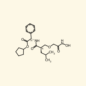 CC(C)C[C@H](COCC(=O)NO)C(=O)N[C@H](C(=O)OC1CCCC1)c1ccccc1